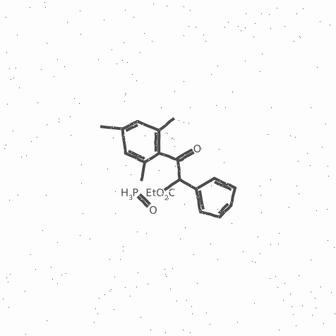 CCOC(=O)C(C(=O)c1c(C)cc(C)cc1C)c1ccccc1.O=[PH3]